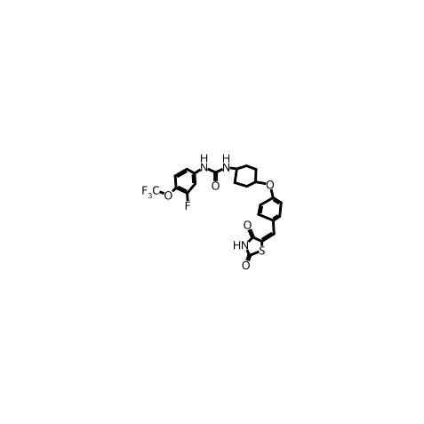 O=C(Nc1ccc(OC(F)(F)F)c(F)c1)NC1CCC(Oc2ccc(C=C3SC(=O)NC3=O)cc2)CC1